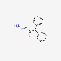 NN=CC(=O)C(c1ccccc1)c1ccccc1